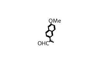 COc1ccc2cc([C@@H](C)C=O)ccc2c1